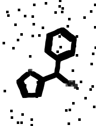 NC(c1ccccc1)c1cccs1